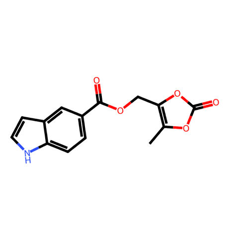 Cc1oc(=O)oc1COC(=O)c1ccc2[nH]ccc2c1